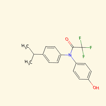 CC(C)c1ccc(N(C(=O)C(F)(F)F)c2ccc(O)cc2)cc1